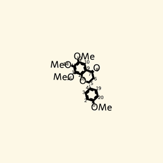 COc1ccc([C@H]2CC(=O)c3cc(OC)c(OC)c(OC)c3O2)cc1